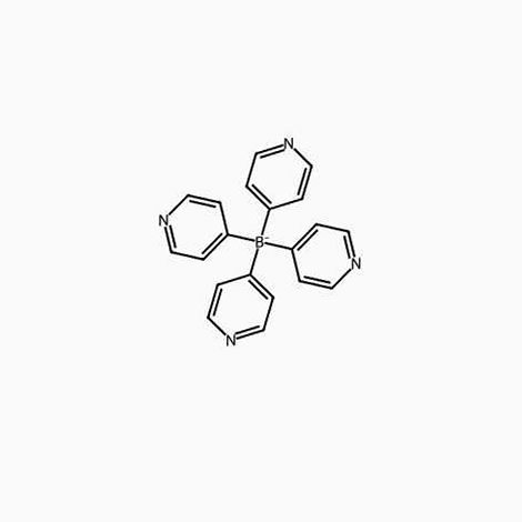 c1cc([B-](c2ccncc2)(c2ccncc2)c2ccncc2)ccn1